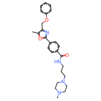 Cc1oc(-c2ccc(C(=O)NCCCN3CCN(C)CC3)cc2)nc1COc1ccccc1